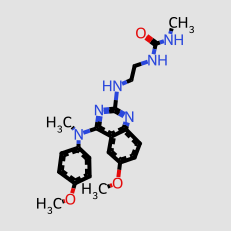 CNC(=O)NCCNc1nc(N(C)c2ccc(OC)cc2)c2cc(OC)ccc2n1